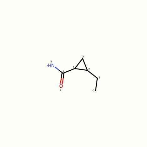 CCC1CC1C([NH])=O